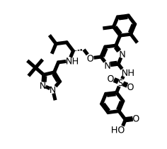 Cc1cccc(C)c1-c1cc(OC[C@@H](CC(C)C)NCc2cn(C)nc2C(C)(C)C)nc(NS(=O)(=O)c2cccc(C(=O)O)c2)n1